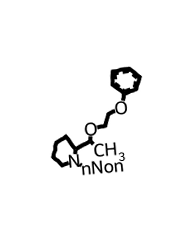 CCCCCCCCCN1CCCCC1C(C)OCCOc1ccccc1